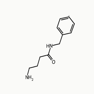 NCCCC(=O)NCc1cc[c]cc1